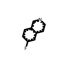 Fc1[c]c2ccncc2cc1